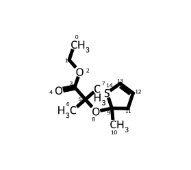 CCOC(=O)C(C)(C)OC1(C)CC=CS1